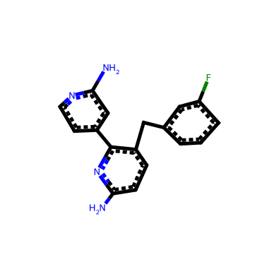 Nc1cc(-c2nc(N)ccc2Cc2cccc(F)c2)ccn1